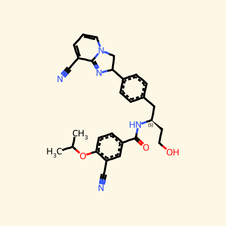 CC(C)Oc1ccc(C(=O)N[C@H](CCO)Cc2ccc(C3CN4C=CC=C(C#N)C4=N3)cc2)cc1C#N